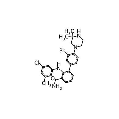 Cc1cc(Cl)cc(Nc2c(C(N)=O)cccc2-c2ccc(N3CCNC(C)(C)C3)c(Br)c2)c1